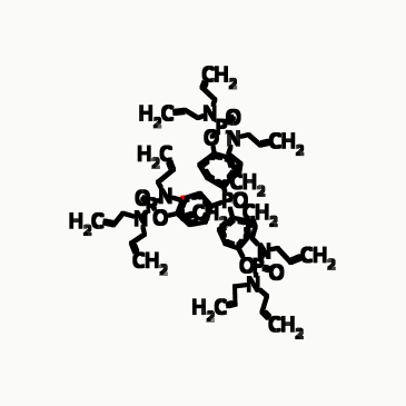 C=CCN(CC=C)P(=O)(Oc1ccc(P(=O)(c2ccc(OP(=O)(N(CC=C)CC=C)N(CC=C)CC=C)cc2)c2ccc(OP(=O)(N(CC=C)CC=C)N(CC=C)CC=C)cc2)cc1)N(CC=C)CC=C